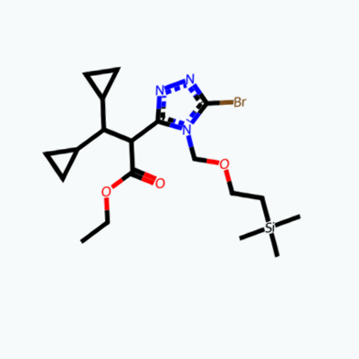 CCOC(=O)C(c1nnc(Br)n1COCC[Si](C)(C)C)C(C1CC1)C1CC1